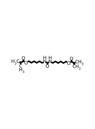 C=C(C)C(=O)OCCCCCCNC(=O)NCCCCCCOC(=O)C(=C)C